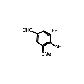 COc1cc(C=O)ccc1O.[Fe]